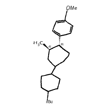 CCCCC1CCC(C2CC[C@@H](c3ccc(OC)cc3)[C@H](C)C2)CC1